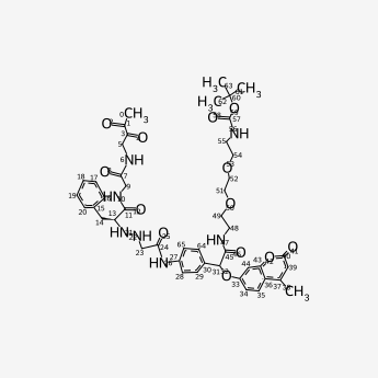 CC(=O)C(=O)CNC(=O)CNC(=O)[C@H](Cc1ccccc1)NNCC(=O)Nc1ccc(C(Oc2ccc3c(C)cc(=O)oc3c2)C(=O)NCCOCCOCCNC(=O)OC(C)(C)C)cc1